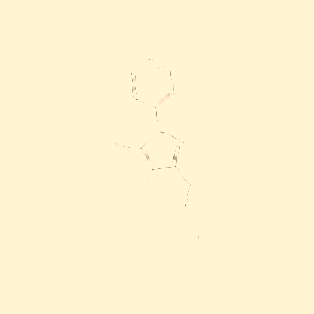 COCCc1nn(-c2ccccc2)c(N)c1C